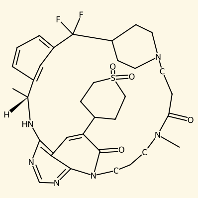 C[C@H]1Nc2ncnc3c2cc(C2CCS(=O)(=O)CC2)c(=O)n3CCCN(C)C(=O)CCN2CCC(CC2)C(F)(F)c2cccc1c2